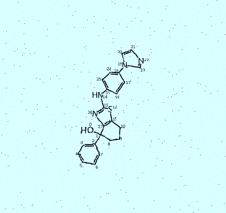 OC1(c2ccccc2)CCCc2sc(Nc3ccc(-n4ccnc4)cc3)nc21